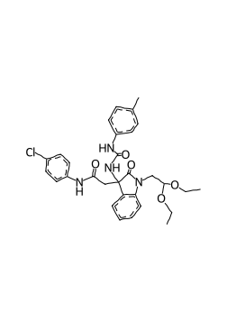 CCOC(CN1C(=O)C(CC(=O)Nc2ccc(Cl)cc2)(NC(=O)Nc2ccc(C)cc2)c2ccccc21)OCC